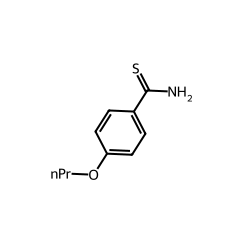 CCCOc1ccc(C(N)=S)cc1